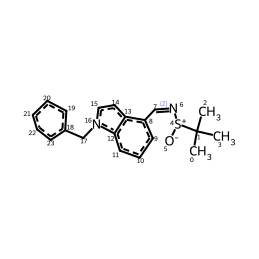 CC(C)(C)[S+]([O-])/N=C\c1cccc2c1ccn2Cc1ccccc1